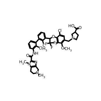 COc1c(CN2CCC(C(=O)O)C2)cc(Cl)c(OC(c2cccc(-c3cccc(NC(=O)c4nc5c(n4C)CCN(C)C5)c3Cl)c2C)C(F)(F)F)c1F